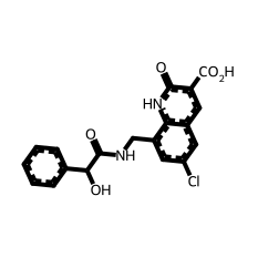 O=C(O)c1cc2cc(Cl)cc(CNC(=O)C(O)c3ccccc3)c2[nH]c1=O